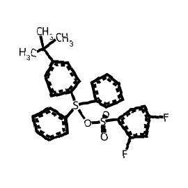 CC(C)(C)c1ccc(S(OS(=O)(=O)c2ccc(F)cc2F)(c2ccccc2)c2ccccc2)cc1